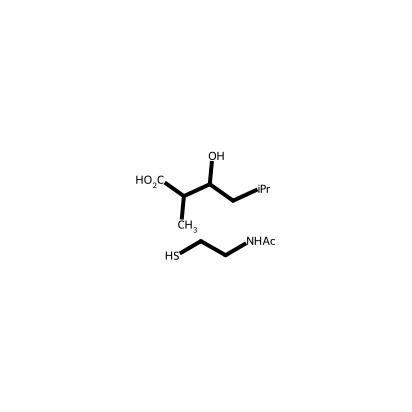 CC(=O)NCCS.CC(C)CC(O)C(C)C(=O)O